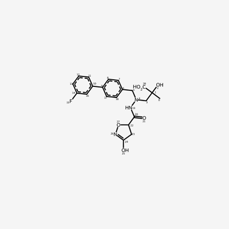 CC(O)(CN(Cc1ccc(-c2cccc(F)c2)cc1)NC(=O)C1CC(O)=NO1)C(=O)O